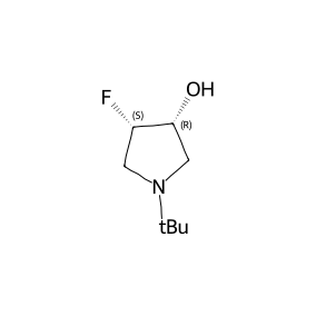 CC(C)(C)N1C[C@@H](O)[C@@H](F)C1